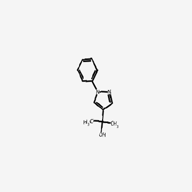 CC(C)(O)c1cnn(-c2ccccc2)c1